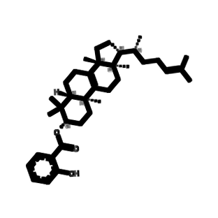 CC(C)=CCC[C@@H](C)[C@H]1CC[C@@]2(C)C3=C(CC[C@]12C)[C@@]1(C)CC[C@H](OC(=O)c2ccccc2O)C(C)(C)[C@@H]1CC3